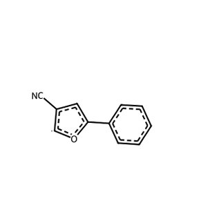 N#Cc1[c]oc(-c2ccccc2)c1